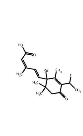 CC1=C(C(C)F)C(=O)CC(C)(C)C1(O)/C=C/C(C)=C\C(=O)O